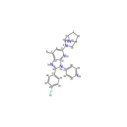 Cc1cc(N2CC3CCC(C2)N3)nc2c1nc(-c1ccc(F)cc1)n2-c1ccncc1